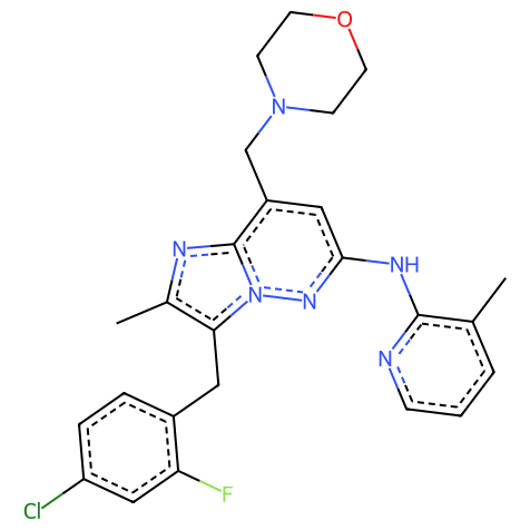 Cc1cccnc1Nc1cc(CN2CCOCC2)c2nc(C)c(Cc3ccc(Cl)cc3F)n2n1